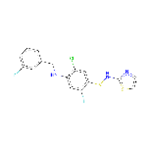 Fc1cccc(CNc2cc(F)c(SNc3nccs3)cc2Cl)c1